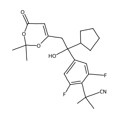 CC1(C)OC(=O)C=C(CC(O)(c2cc(F)c(C(C)(C)C#N)c(F)c2)C2CCCC2)O1